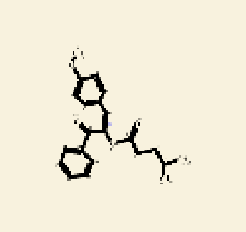 COc1ccc(/C=C(/OC(=O)CCC(C)C)C(=O)c2ccccc2)cc1